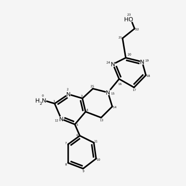 Nc1nc2c(c(-c3ccccc3)n1)CCN(c1ccnc(CCO)n1)C2